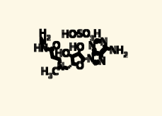 CN(CCC(=O)NN)C[C@H]1O[C@@H](n2cnc3c(N)ncnc32)[C@H](O)[C@@H]1O.O=S(=O)(O)O